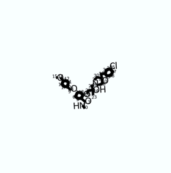 CNC(=O)c1ccc(OCc2ccc(OC)cc2)cc1OCC(C)(O)CN1CCC2(CC1)Cc1cc(Cl)ccc1O2